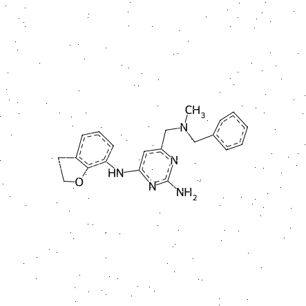 CN(Cc1ccccc1)Cc1cc(Nc2cccc3c2OCC3)nc(N)n1